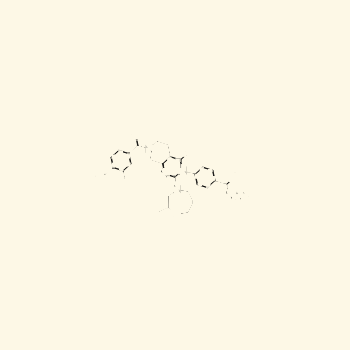 CNC(=O)c1ccc(-n2c(N3CCCOC(C)C3)nc3c(c2=O)C[C@@H](C)N(C(=O)c2ccc(Cl)c(Cl)c2)C3)cc1